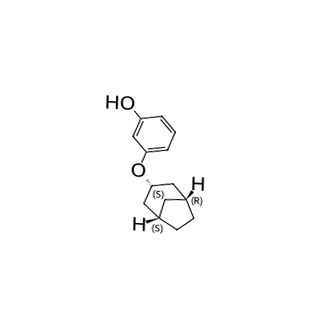 Oc1cccc(O[C@@H]2C[C@@H]3CC[C@@H](C3)C2)c1